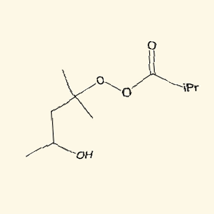 CC(O)CC(C)(C)OOC(=O)C(C)C